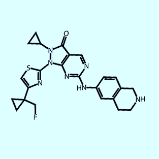 O=c1c2cnc(Nc3ccc4c(c3)CCNC4)nc2n(-c2nc(C3(CF)CC3)cs2)n1C1CC1